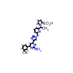 CC(c1cccc(Cn2cc(-c3cc(-c4cccc(C#N)c4)nc(N)n3)nn2)n1)N1CCC[C@@H]1C(=O)O